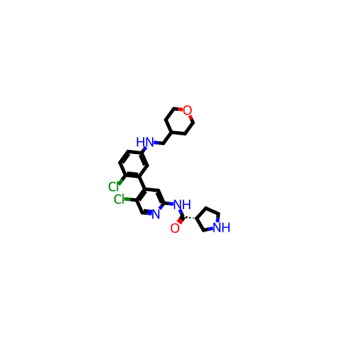 O=C(Nc1cc(-c2cc(NCC3CCOCC3)ccc2Cl)c(Cl)cn1)[C@@H]1CCNC1